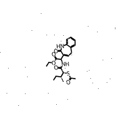 CCOC(=O)C(NC(=O)[C@@H](SC(C)=O)[C@@H](C)CC)C1=CCc2ccccc2NC1=O